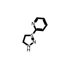 c1ccc(S2=NNCC2)nc1